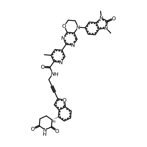 Cc1cc(-c2ncc3c(n2)OCCN3c2ccc3c(c2)n(C)c(=O)n3C)cnc1C(=O)NCC#Cc1cc2c([C@H]3CCC(=O)NC3=O)cccc2o1